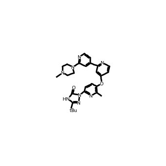 Cc1nc(-n2nc(C(C)(C)C)[nH]c2=O)ccc1Oc1ccnc(-c2ccnc(N3CCN(C)CC3)c2)c1